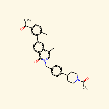 COC(=O)c1ccc(C)c(-c2ccc3c(=O)n(Cc4ccc(C5CCN(C(=O)C(F)(F)F)CC5)cc4)cc(C)c3c2)c1